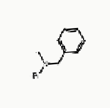 [CH2]N(CCC)Cc1ccccc1